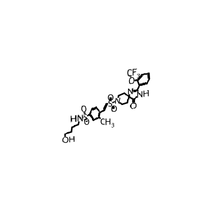 Cc1cc(S(=O)(=O)NCCCCO)ccc1C=CS(=O)(=O)N1CCC2(CC1)N=C(c1ccccc1OC(F)(F)F)NC2=O